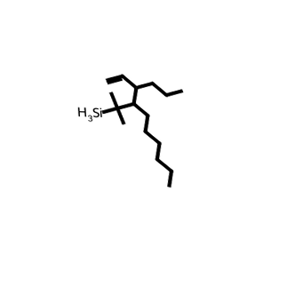 C=CC(CCC)C(CCCCCC)C(C)(C)[SiH3]